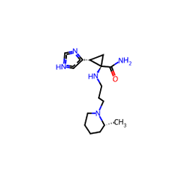 C[C@@H]1CCCCN1CCCN[C@]1(C(N)=O)C[C@H]1c1c[nH]cn1